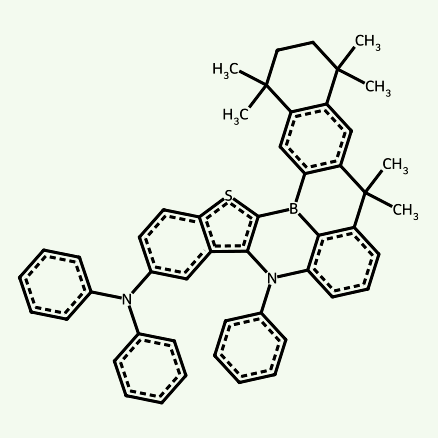 CC1(C)CCC(C)(C)c2cc3c(cc21)B1c2sc4ccc(N(c5ccccc5)c5ccccc5)cc4c2N(c2ccccc2)c2cccc(c21)C3(C)C